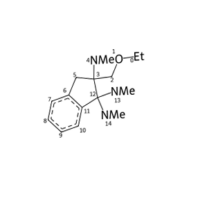 CCOCC1(NC)Cc2ccccc2C1(NC)NC